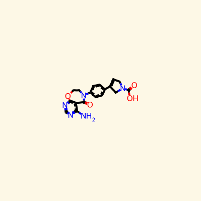 Nc1ncnc2c1C(=O)N(c1ccc(C3=CCN(C(=O)O)C3)cc1)CCO2